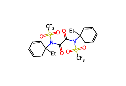 CCC1(N(C(=O)C(=O)N(C2(CC)C=CC=CC2)S(=O)(=O)C(F)(F)F)S(=O)(=O)C(F)(F)F)C=CC=CC1